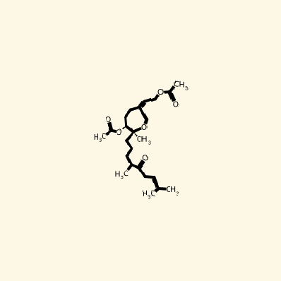 CC(=O)OCC=C1CC[C@@H](OC(C)=O)[C@](C)(CCCC(C)C(=O)CC=C(C)C)OC1